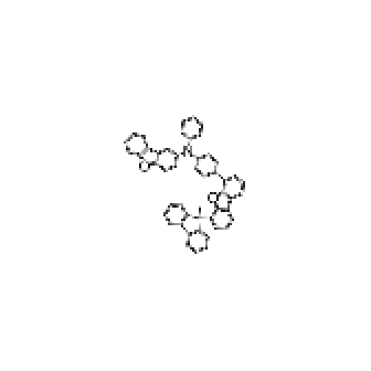 CC1(c2cccc3c2oc2c(-c4ccc(N(c5ccccc5)c5ccc6oc7ccccc7c6c5)cc4)cccc23)c2ccccc2-c2ccccc21